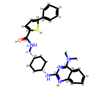 CN(C)c1nc(N[C@H]2CC[C@@H](CNC(=O)c3ccc(-c4ccccc4)s3)CC2)nc2ccccc12